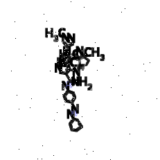 Cn1cc(-c2cc3c(N[C@@H]4CC[C@](C)(N)C4(C)C)c(/C(N)=N/c4ccc(/N=N/c5ccccc5)cc4)cnn3c2)cn1